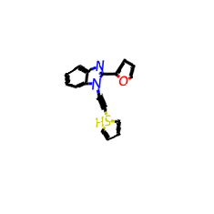 C(#C[SH]1C=CC=C1)n1c(-c2ccco2)nc2ccccc21